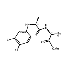 CC[C@H](C)[C@H](NC(=O)[C@H](C)Nc1ccc(Cl)c(Cl)c1)C(=O)OC